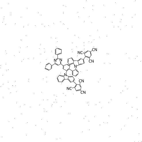 N#Cc1cc(C#N)c(-c2ccc3c(c2)c2ccccc2n3-c2ccccc2-c2ccc(-c3cc(-c4ccccc4)nc(-c4ccccc4)n3)cc2-n2c3ccccc3c3cc(-c4c(C#N)cc(C#N)cc4C#N)ccc32)c(C#N)c1